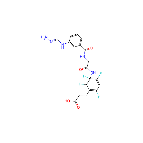 NN=CNc1cccc(C(=O)NCC(=O)NC2(F)C(F)=CC(F)=C(CCC(=O)O)C2F)c1